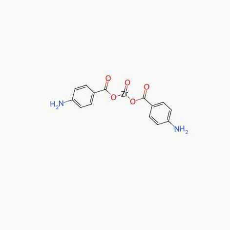 Nc1ccc(C(=O)[O][Zr](=[O])[O]C(=O)c2ccc(N)cc2)cc1